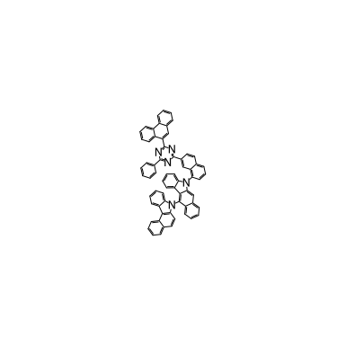 c1ccc(-c2nc(-c3ccc4cccc(-n5c6ccccc6c6c(-n7c8ccccc8c8c9ccccc9ccc87)c7ccccc7cc65)c4c3)nc(-c3cc4ccccc4c4ccccc34)n2)cc1